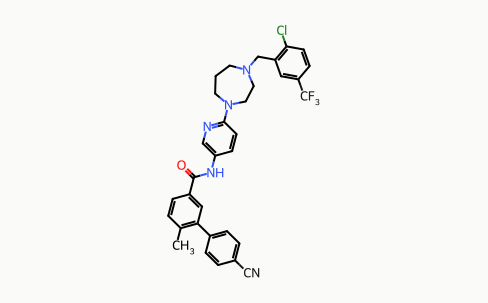 Cc1ccc(C(=O)Nc2ccc(N3CCCN(Cc4cc(C(F)(F)F)ccc4Cl)CC3)nc2)cc1-c1ccc(C#N)cc1